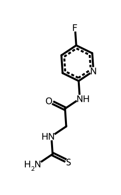 NC(=S)NCC(=O)Nc1ccc(F)cn1